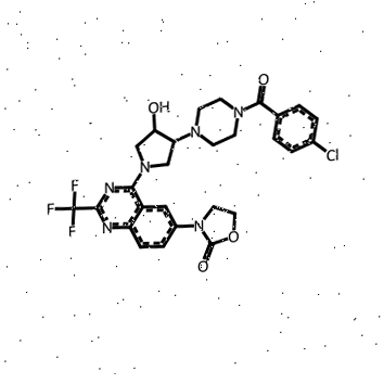 O=C(c1ccc(Cl)cc1)N1CCN(C2CN(c3nc(C(F)(F)F)nc4ccc(N5CCOC5=O)cc34)CC2O)CC1